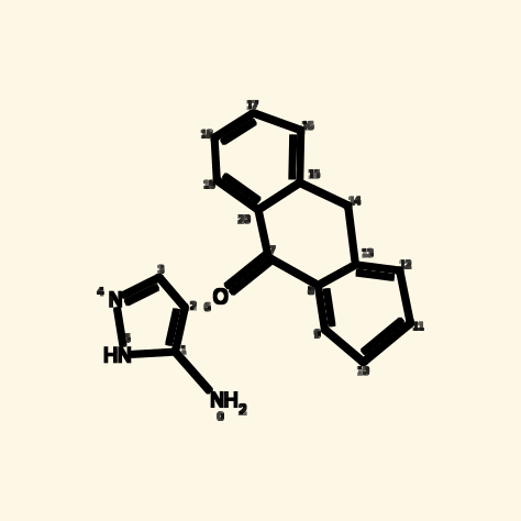 Nc1ccn[nH]1.O=C1c2ccccc2Cc2ccccc21